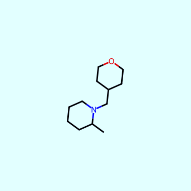 CC1CCCCN1CC1CCOCC1